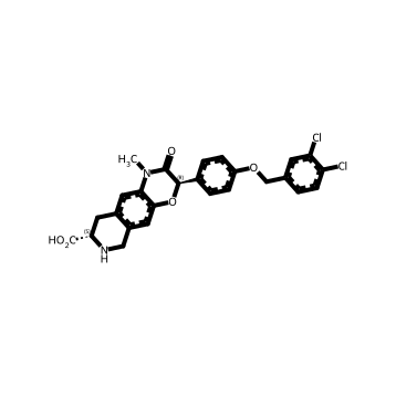 CN1C(=O)[C@@H](c2ccc(OCc3ccc(Cl)c(Cl)c3)cc2)Oc2cc3c(cc21)C[C@@H](C(=O)O)NC3